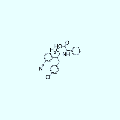 CC(NC(C(=O)O)c1ccccc1)C(Cc1ccc(Cl)cc1)c1cccc(C#N)c1